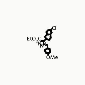 CCOC(=O)c1nnn(Cc2ccc(OC)cc2)c1-c1ccc2cc(Cl)ccc2c1